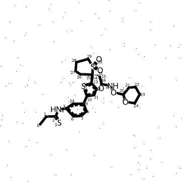 CCC(=S)Nc1cccc(-c2ccc([C@@]3(CC(=O)NOC4CCCCO4)CCCCS3(=O)=O)s2)c1